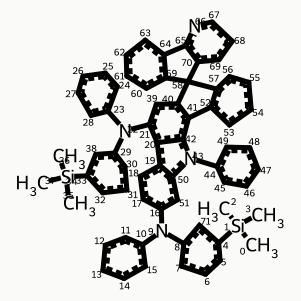 C[Si](C)(C)c1cccc(N(c2ccccc2)c2ccc3c4c(N(c5ccccc5)c5cccc([Si](C)(C)C)c5)cc5c(c4n(-c4ccccc4)c3c2)-c2ccccc2C52c3ccccc3-c3ncccc32)c1